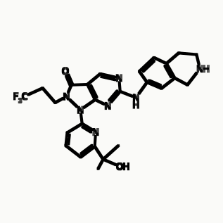 CC(C)(O)c1cccc(-n2c3nc(Nc4ccc5c(c4)CNCC5)ncc3c(=O)n2CCC(F)(F)F)n1